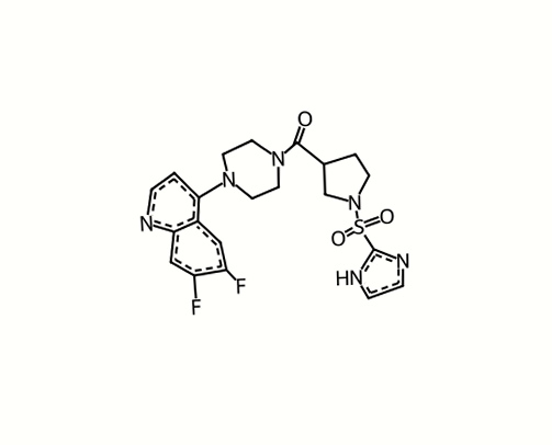 O=C(C1CCN(S(=O)(=O)c2ncc[nH]2)C1)N1CCN(c2ccnc3cc(F)c(F)cc23)CC1